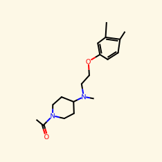 CC(=O)N1CCC(N(C)CCOc2ccc(C)c(C)c2)CC1